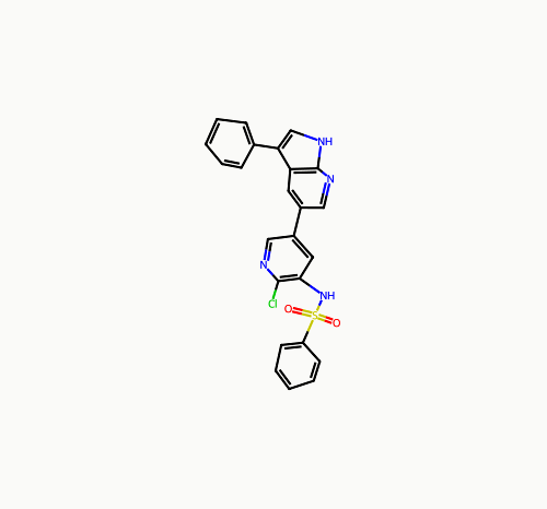 O=S(=O)(Nc1cc(-c2cnc3[nH]cc(-c4ccccc4)c3c2)cnc1Cl)c1ccccc1